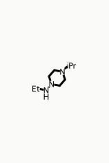 CCNN1CCN(C(C)C)CC1